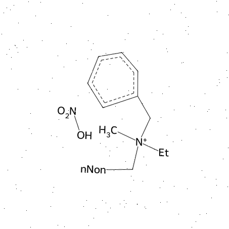 CCCCCCCCCC[N+](C)(CC)Cc1ccccc1.O=[N+]([O-])O